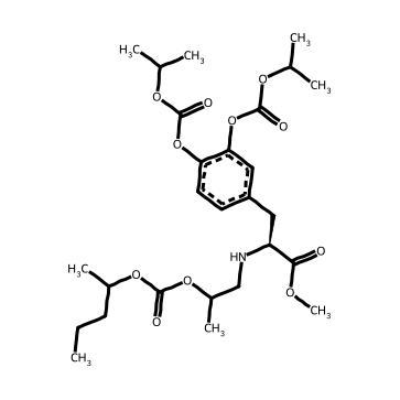 CCCC(C)OC(=O)OC(C)CN[C@@H](Cc1ccc(OC(=O)OC(C)C)c(OC(=O)OC(C)C)c1)C(=O)OC